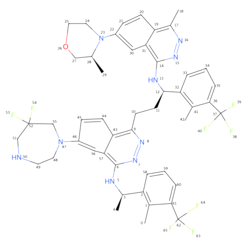 Cc1c([C@@H](C)Nc2nnc(CC[C@@H](Nc3nnc(C)c4ccc(N5CCOC[C@@H]5C)cc34)c3cccc(C(F)(F)F)c3C)c3ccc(N4CCNCC(F)(F)C4)cc23)cccc1C(F)(F)F